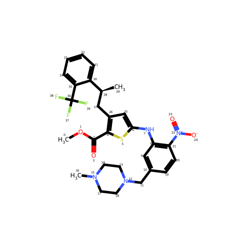 COC(=O)c1sc(Nc2cc(CN3CCN(C)CC3)ccc2[N+](=O)[O-])cc1C[C@H](C)c1ccccc1C(F)(F)F